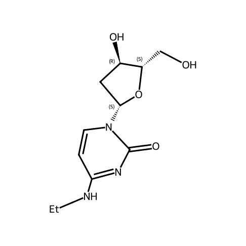 CCNc1ccn([C@@H]2C[C@@H](O)[C@H](CO)O2)c(=O)n1